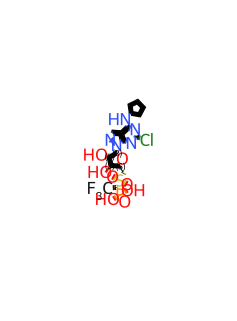 O=P(O)(O)C(C(F)(F)F)S(=O)(=O)C[C@H]1O[C@@H](n2ncc3c(NC4CCCC4)nc(Cl)nc32)[C@H](O)[C@@H]1O